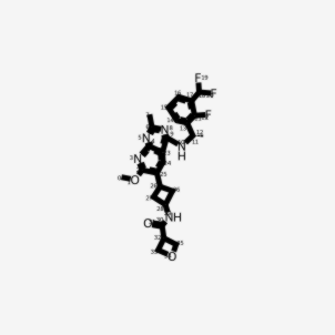 COc1nc2nc(C)nc(N[C@@H](C)c3cccc(C(F)F)c3F)c2cc1C1CC(NC(=O)C2COC2)C1